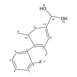 CC1=C(c2ccccc2F)C(C)CC(C(O)O)=C1